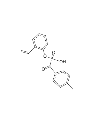 C=Cc1ccccc1OP(=O)(O)C(=O)c1ccc(C)cc1